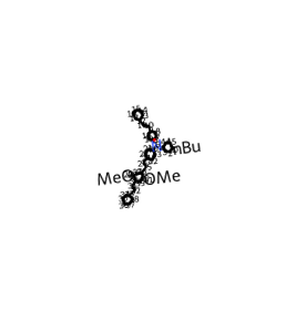 CCCCc1ccc(N(c2ccc(/C=C/c3ccccc3)cc2)c2ccc(/C=C/c3cc(OC)c(/C=C/c4ccccc4)cc3OC)cc2)cc1